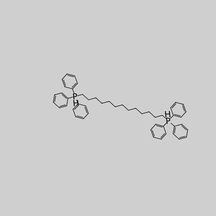 c1ccc([PH](CCCCCCCCCCCCC[PH](c2ccccc2)(c2ccccc2)c2ccccc2)(c2ccccc2)c2ccccc2)cc1